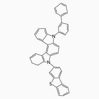 C1=Cc2c(n(-c3ccc4c(c3)sc3ccccc34)c3ccc4c(c5ccccc5n4-c4cccc(-c5ccccc5)c4)c23)CC1